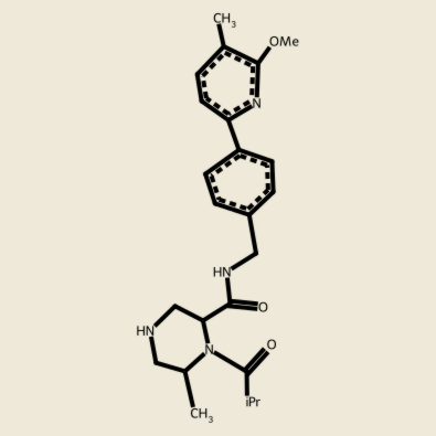 COc1nc(-c2ccc(CNC(=O)C3CNCC(C)N3C(=O)C(C)C)cc2)ccc1C